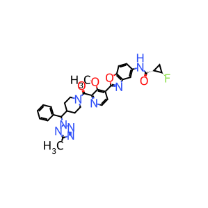 COc1c(-c2nc3cc(NC(=O)[C@@H]4C[C@@H]4F)ccc3o2)ccnc1C(=O)N1CCC(C(c2ccccc2)n2nnc(C)n2)CC1